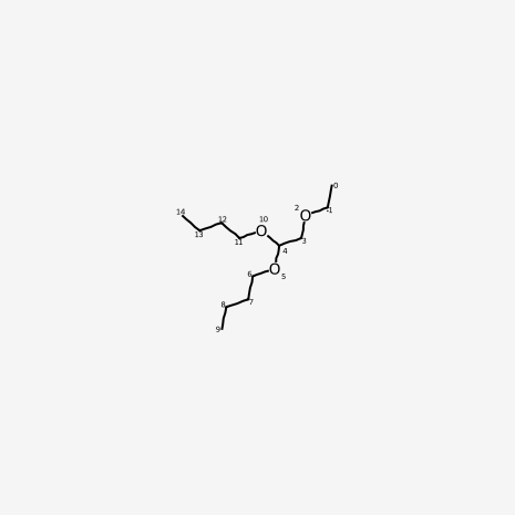 C[CH]OCC(OCCCC)OCCCC